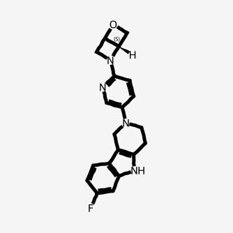 Fc1ccc2c3c([nH]c2c1)CCN(c1ccc(N2CC4OC[C@@H]42)nc1)C3